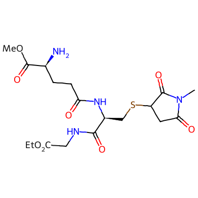 CCOC(=O)CNC(=O)[C@H](CSC1CC(=O)N(C)C1=O)NC(=O)CC[C@H](N)C(=O)OC